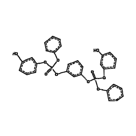 O=P(Oc1ccccc1)(Oc1cccc(O)c1)Oc1cccc(OP(=O)(Oc2ccccc2)Oc2cccc(O)c2)c1